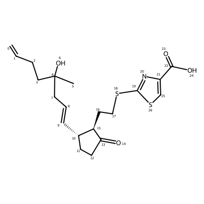 C=CCCC(C)(O)C/C=C/[C@H]1CCC(=O)[C@@H]1CCSc1nc(C(=O)O)cs1